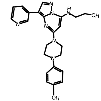 OCCNc1cc(N2CCN(c3ccc(O)cc3)CC2)nc2c(-c3cccnc3)cnn12